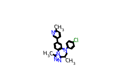 Cc1ccc(-c2ccc3c(c2)N(c2ccc(Cl)cc2)C[C@H](C)c2nnc(C)n2-3)cn1